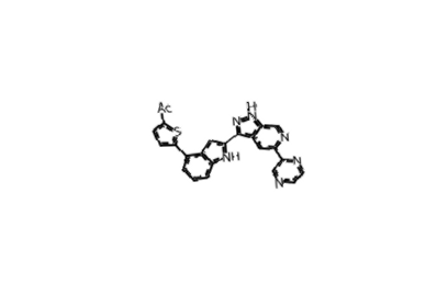 CC(=O)c1ccc(-c2cccc3[nH]c(-c4n[nH]c5cnc(-c6cnccn6)cc45)cc23)s1